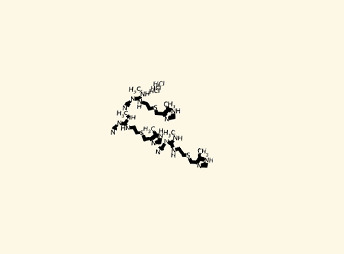 CN/C(=N/C#N)NCCSCc1nc[nH]c1C.CN/C(=N/C#N)NCCSCc1nc[nH]c1C.CN/C(=N/C#N)NCCSCc1nc[nH]c1C.Cl.Cl.Cl